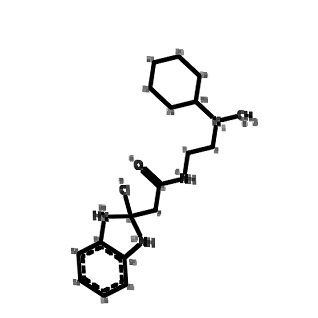 CN(CCNC(=O)CC1(Cl)Nc2ccccc2N1)C1CCCCC1